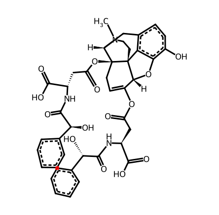 CN1CC[C@@]23c4c5ccc(O)c4O[C@@H]2C(OC(=O)C[C@H](NC(=O)[C@@H](O)c2ccccc2)C(=O)O)=CC[C@]3(OC(=O)C[C@H](NC(=O)[C@@H](O)c2ccccc2)C(=O)O)[C@@H]1C5